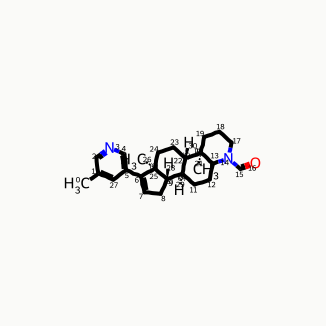 Cc1cncc(C2=CC[C@H]3[C@@H]4CCC5N(C=O)CCC[C@]5(C)[C@H]4CC[C@]23C)c1